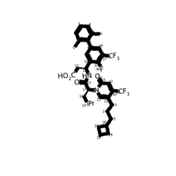 Cc1cccc(C)c1-c1cc([C@H](CC(=O)O)NC(=O)[C@H](CC(C)C)n2cc(CCCC3CCC3)c(C(F)(F)F)cc2=O)c(F)c(C(F)(F)F)c1